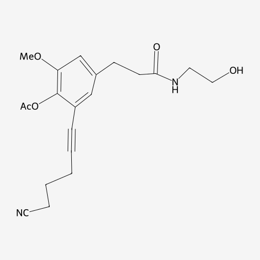 COc1cc(CCC(=O)NCCO)cc(C#CCCCC#N)c1OC(C)=O